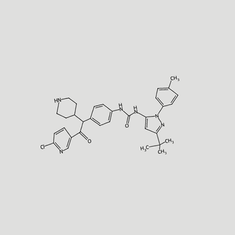 Cc1ccc(-n2nc(C(C)(C)C)cc2NC(=O)Nc2ccc(C(C(=O)c3ccc(Cl)nc3)C3CCNCC3)cc2)cc1